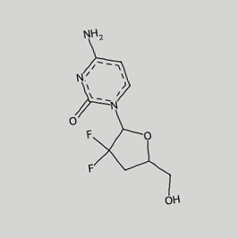 Nc1ccn(C2OC(CO)CC2(F)F)c(=O)n1